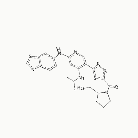 CC(C)Nc1cc(Nc2ccc3ncsc3c2)ncc1-c1nnc(C(=O)N2CCCC2CO)s1